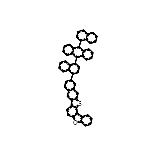 c1ccc2c(-c3c4ccccc4c(-c4ccc(-c5ccc6cc7c(cc6c5)sc5c7ccc6oc7ccccc7c65)c5ccccc45)c4ccccc34)cccc2c1